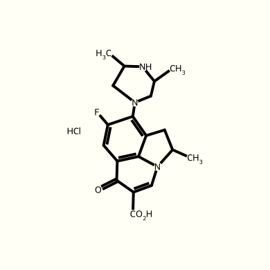 CC1CN(c2c(F)cc3c(=O)c(C(=O)O)cn4c3c2CC4C)CC(C)N1.Cl